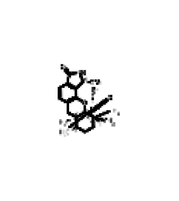 CO[C@H]1NC(=O)c2ccc3c(c21)O[C@@]12C[C@@H](Br)C(=O)C(C)(C)[C@@H]1CC[C@H](C)[C@@]2(C)C3